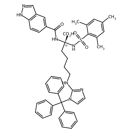 Cc1cc(C)c(S(=O)(=O)N[C@](CCCCNc2nccn2C(c2ccccc2)(c2ccccc2)c2ccccc2)(NC(=O)c2ccc3[nH]ncc3c2)C(=O)O)c(C)c1